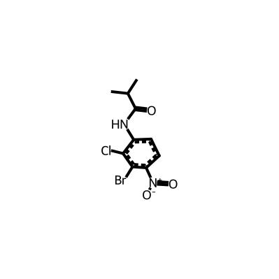 CC(C)C(=O)Nc1ccc([N+](=O)[O-])c(Br)c1Cl